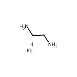 NCCN.[I].[Pb]